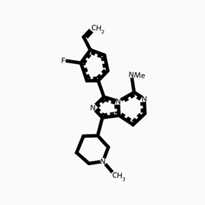 C=Cc1ccc(-c2nc(C3CCCN(C)C3)c3ccnc(NC)n23)cc1F